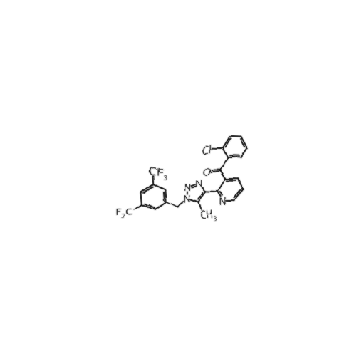 Cc1c(-c2ncccc2C(=O)c2ccccc2Cl)nnn1Cc1cc(C(F)(F)F)cc(C(F)(F)F)c1